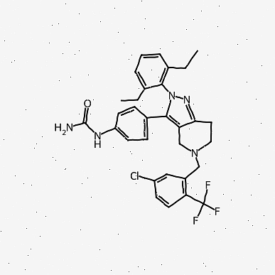 CCc1cccc(CC)c1-n1nc2c(c1-c1ccc(NC(N)=O)cc1)CN(Cc1cc(Cl)ccc1C(F)(F)F)CC2